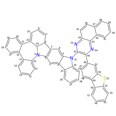 C1=CC2c3cc4c(cc3N3c5ccccc5-c5ccccc5C(=C1)C23)c1ccccc1n4-c1nc2ccc3ccccc3c2nc1-c1ccc2c(c1)sc1ccccc12